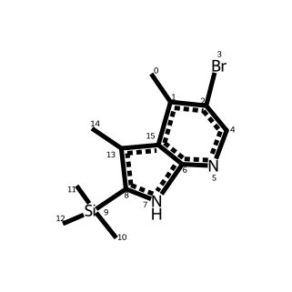 Cc1c(Br)cnc2[nH]c([Si](C)(C)C)c(C)c12